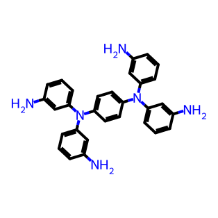 Nc1cccc(N(c2ccc(N(c3cccc(N)c3)c3cccc(N)c3)cc2)c2cccc(N)c2)c1